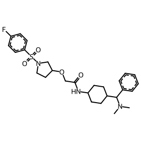 CN(C)C(c1ccccc1)C1CCC(NC(=O)COC2CCN(S(=O)(=O)c3ccc(F)cc3)C2)CC1